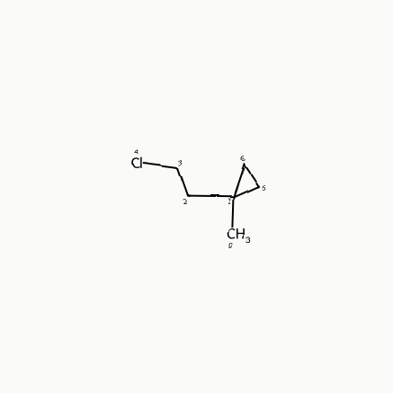 CC1(CCCl)CC1